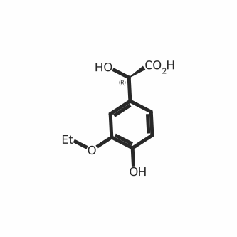 CCOc1cc([C@@H](O)C(=O)O)ccc1O